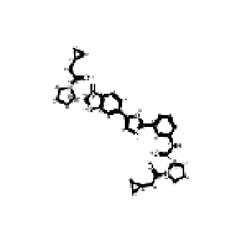 O=C(Nc1cccc(-c2ncc(-c3ccc4[nH]c([C@@H]5CCCN5C(=O)CC5CC5)nc4c3)o2)c1)[C@@H]1CCCN1C(=O)CC1CC1